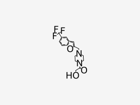 O=C(CO)N1CCN(Cc2cc3cc(C(F)(F)F)ccc3o2)CC1